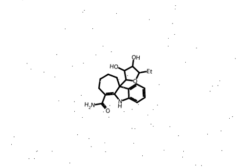 CCC1OC(C23CCCCC(C(N)=O)=C2Nc2ccccc23)C(O)C1O